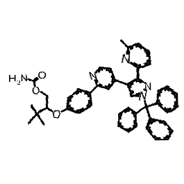 Cc1cccc(-c2nn(C(c3ccccc3)(c3ccccc3)c3ccccc3)cc2-c2ccnc(-c3ccc(OC(COC(N)=O)C(C)(C)C)cc3)c2)n1